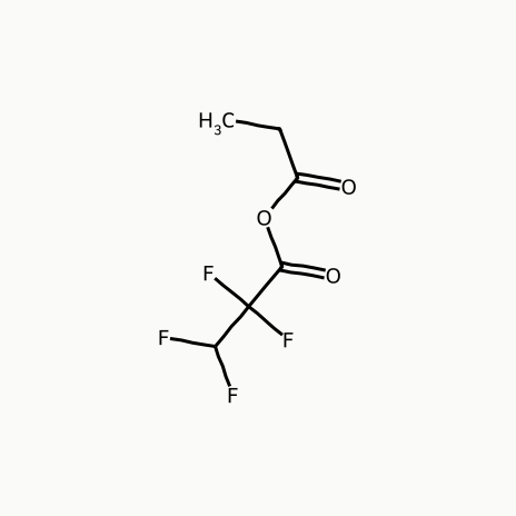 CCC(=O)OC(=O)C(F)(F)C(F)F